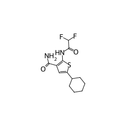 NC(=O)c1cc(C2CCCCC2)sc1NC(=O)C(F)F